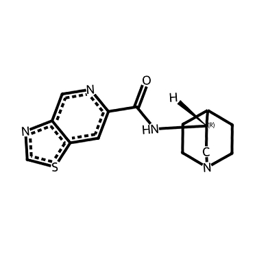 O=C(N[C@H]1CN2CCC1CC2)c1cc2scnc2cn1